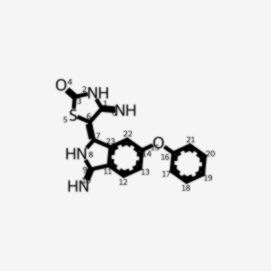 N=C1NC(=O)SC1=C1NC(=N)c2ccc(Oc3ccccc3)cc21